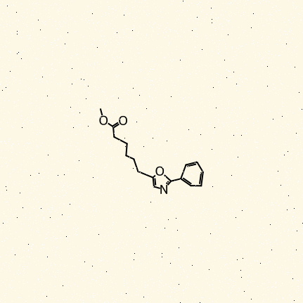 COC(=O)CCCCCc1cnc(-c2ccccc2)o1